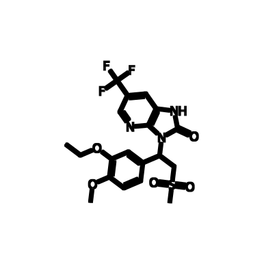 CCOc1cc(C(CS(C)(=O)=O)n2c(=O)[nH]c3cc(C(F)(F)F)cnc32)ccc1OC